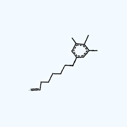 [CH]=CCCCCCCc1cc(C)c(C)c(C)c1